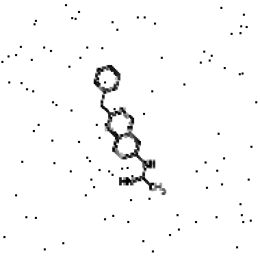 CC(=N)Nc1ccc2nc(Cc3ccccc3)ncc2c1